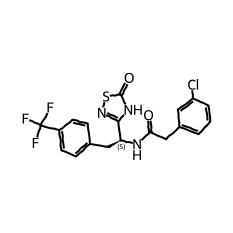 O=C(Cc1cccc(Cl)c1)N[C@@H](Cc1ccc(C(F)(F)F)cc1)c1nsc(=O)[nH]1